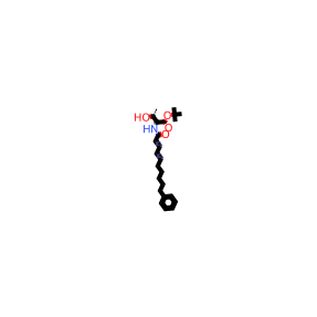 C[C@@H](O)[C@H](NC(=O)/C=C/C=C/CCCCCc1ccccc1)C(=O)OC(C)(C)C